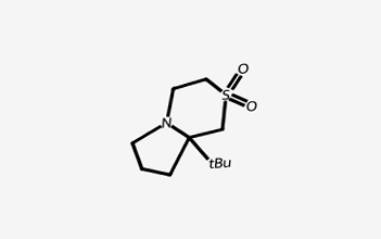 CC(C)(C)C12CCCN1CCS(=O)(=O)C2